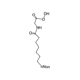 CCCCCCCCCCCCCCCC(=O)NCC(=O)OO